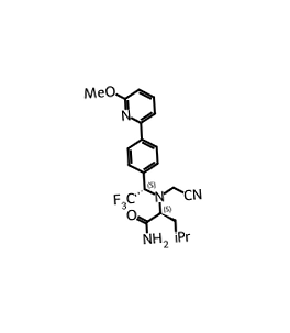 COc1cccc(-c2ccc([C@H](N(CC#N)[C@@H](CC(C)C)C(N)=O)C(F)(F)F)cc2)n1